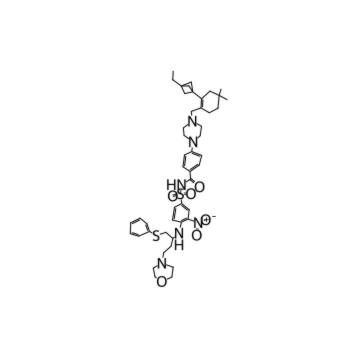 CCC12CC(C3=C(CN4CCN(c5ccc(C(=O)NS(=O)(=O)c6ccc(NC(CCN7CCOCC7)CSc7ccccc7)c([N+](=O)[O-])c6)cc5)CC4)CCC(C)(C)C3)(C1)C2